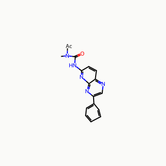 CC(=O)N(C)C(=O)Nc1ccc2ncc(-c3ccccc3)nc2n1